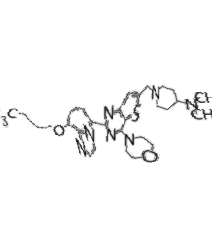 CCCCOc1ccc(-c2nc(N3CCOCC3)c3sc(CN4CCC(N(C)C)CC4)cc3n2)n2ccnc12